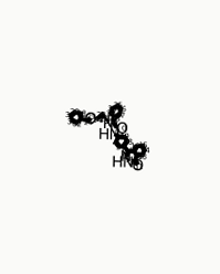 O=C(Nc1ccc(-c2n[nH]c(=O)c3ccccc23)cc1)c1nn(CCOCc2ccccc2)c2ccccc12